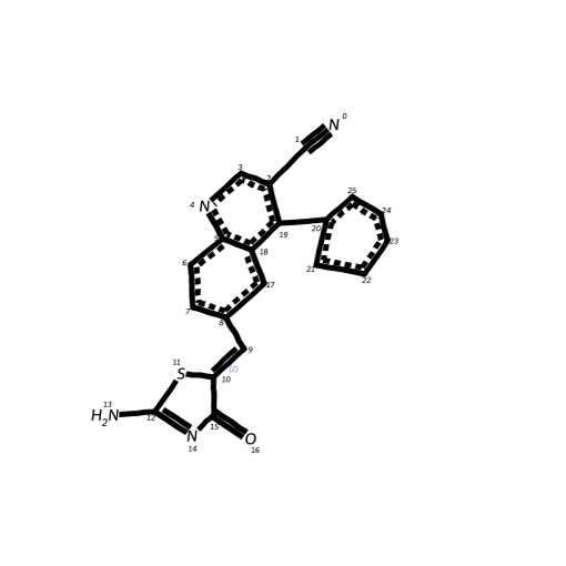 N#Cc1cnc2ccc(/C=C3\SC(N)=NC3=O)cc2c1-c1ccccc1